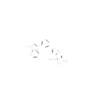 CN1CCC(O)(c2cc(-c3cccc(-c4c[nH]c5ncccc45)c3)on2)C1=O